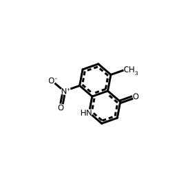 Cc1ccc([N+](=O)[O-])c2[nH]ccc(=O)c12